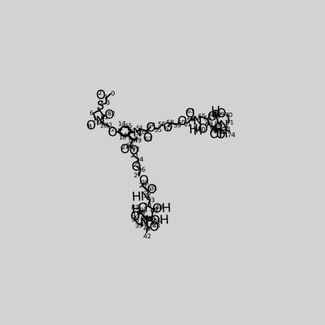 CC(=O)CSC1CC(=O)N(CCOc2ccc3c(c2)c(C(=O)OCCOCCOCC(=O)NCC2O[C@H]4OCCN(C(C)=O)[C@H]4[C@@H](O)[C@H]2O)cn3CC(=O)OCCOCCOCC(=O)NCC2O[C@H]3OCCN(C(C)=O)[C@H]3[C@@H](O)[C@H]2O)C1=O